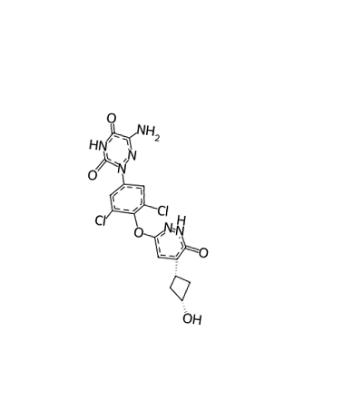 Nc1nn(-c2cc(Cl)c(Oc3cc([C@H]4C[C@@H](O)C4)c(=O)[nH]n3)c(Cl)c2)c(=O)[nH]c1=O